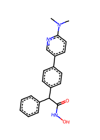 CN(C)c1ccc(-c2ccc(C(C(=O)NO)c3ccccc3)cc2)cn1